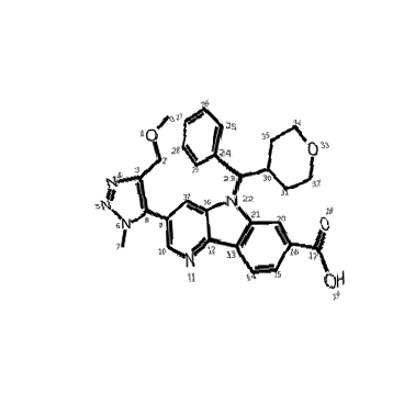 COCc1nnn(C)c1-c1cnc2c3ccc(C(=O)O)cc3n(C(c3ccccc3)C3CCOCC3)c2c1